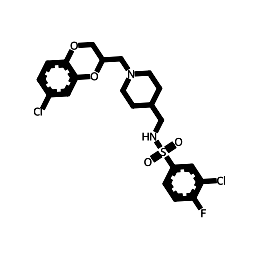 O=S(=O)(NCC1CCN(CC2COc3ccc(Cl)cc3O2)CC1)c1ccc(F)c(Cl)c1